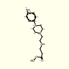 CC(C)(C)OC(=O)CCNCCN1CCN(c2ccc(N)cc2)CC1